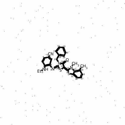 CCNc1ccc(C#N)cc1N=C1S/C(=C2\Sc3cccc(C)c3N2C)C(=O)N1Cc1ccccc1